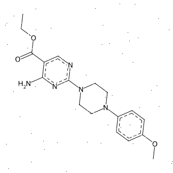 CCOC(=O)c1cnc(N2CCN(c3ccc(OC)cc3)CC2)nc1N